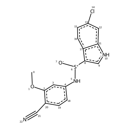 COc1cc(N[S+]([O-])c2c[nH]c3cc(Cl)ccc23)ccc1C#N